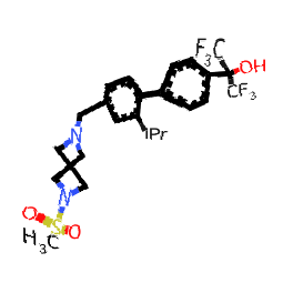 CC(C)c1cc(CN2CC3(C2)CN(S(C)(=O)=O)C3)ccc1-c1ccc(C(O)(C(F)(F)F)C(F)(F)F)cc1